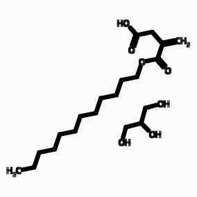 C=C(CC(=O)O)C(=O)OCCCCCCCCCCCC.OCC(O)CO